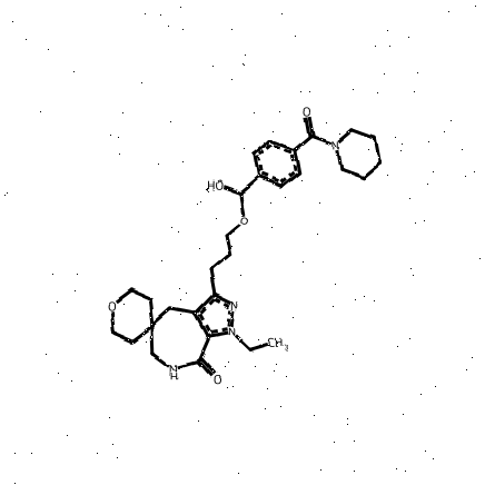 CCn1nc(CCCOC(O)c2ccc(C(=O)N3CCCCC3)cc2)c2c1C(=O)NCC1(CCOCC1)C2